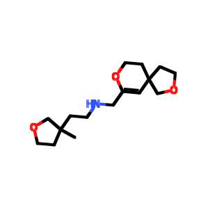 CC1(CCNCC2=CC3(CCOC3)CCO2)CCOC1